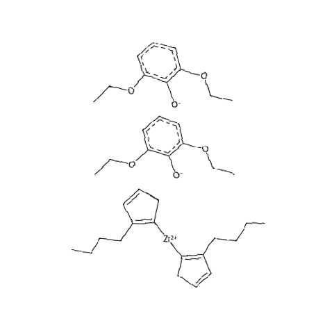 CCCCC1=[C]([Zr+2][C]2=C(CCCC)C=CC2)CC=C1.CCOc1cccc(OCC)c1[O-].CCOc1cccc(OCC)c1[O-]